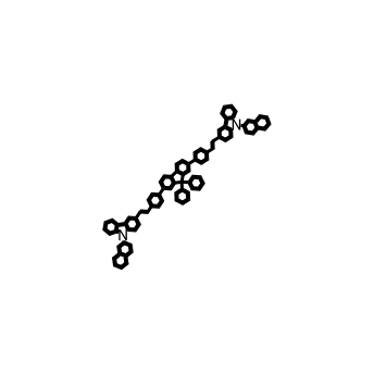 C(=C\c1ccc2c(c1)c1ccccc1n2-c1ccc2ccccc2c1)/c1ccc(-c2ccc3c(c2)C(c2ccccc2)(c2ccccc2)c2cc(-c4ccc(/C=C/c5ccc6c(c5)c5ccccc5n6-c5ccc6ccccc6c5)cc4)ccc2-3)cc1